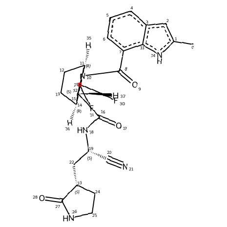 Cc1cc2cccc(C(=O)N3[C@@H]4CC[C@H]([C@H]3C(=O)N[C@H](C#N)C[C@@H]3CCNC3=O)C(F)(F)C4)c2[nH]1